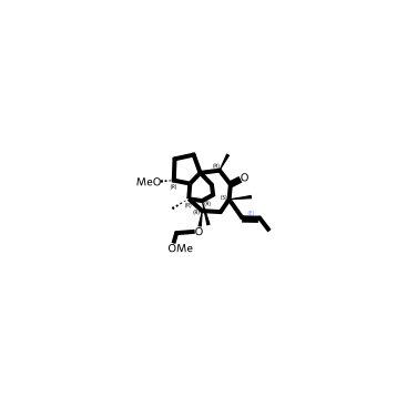 C/C=C/[C@]1(C)C[C@@H](OCOC)[C@@]2(C)C3[C@H](OC)CCC3(CC[C@H]2C)[C@@H](C)C1=O